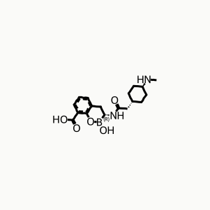 CN[C@H]1CC[C@H](CC(=O)N[C@H]2Cc3cccc(C(=O)O)c3OB2O)CC1